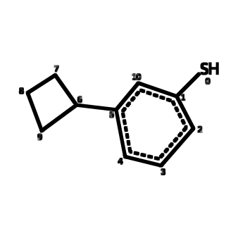 Sc1cccc(C2CCC2)c1